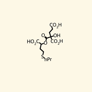 CCCSCCC(OC(=O)C(O)(CCC(=O)O)C(=O)O)C(=O)O